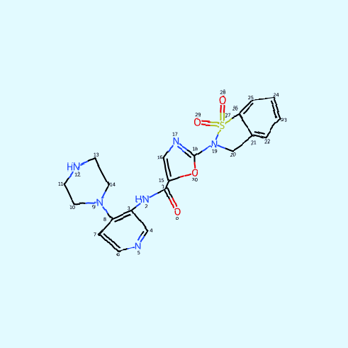 O=C(Nc1cnccc1N1CCNCC1)c1cnc(N2Cc3ccccc3S2(=O)=O)o1